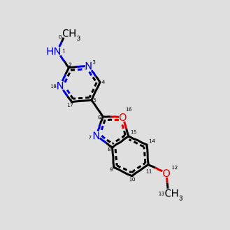 CNc1ncc(-c2nc3ccc(OC)cc3o2)cn1